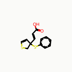 O=C(O)C=CC1(Sc2ccccc2)C=CSC1